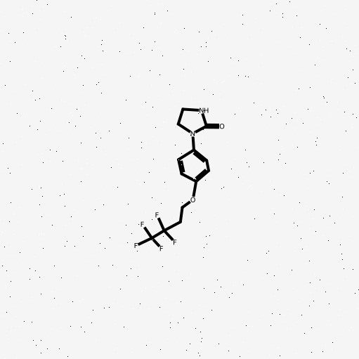 O=C1NCCN1c1ccc(OCCC(F)(F)C(F)(F)F)cc1